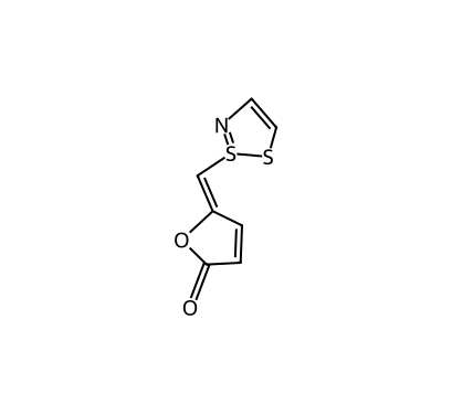 O=C1C=CC(=CS2=NC=CS2)O1